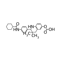 CC1(C)Cc2cc(OC(=O)O)ccc2NC1c1ccc(NC(=O)C2CCCCC2)cc1